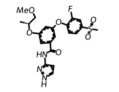 COC[C@H](C)Oc1cc(Oc2ccc(S(C)(=O)=O)cc2F)cc(C(=O)Nc2cc[nH]n2)c1